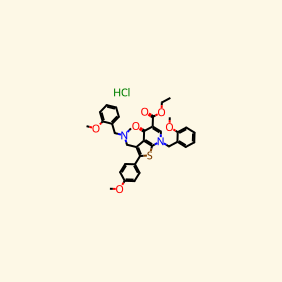 CCOC(=O)c1cn(Cc2ccccc2OC)c2sc(-c3ccc(OC)cc3)c(CN(C)Cc3ccccc3OC)c2c1=O.Cl